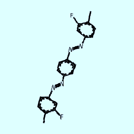 Cc1ccc(N=Nc2ccc(N=Nc3ccc(C)c(F)c3)cc2)cc1F